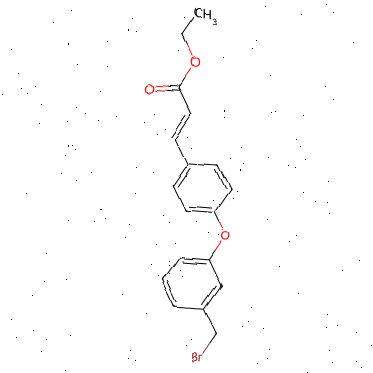 CCOC(=O)C=Cc1ccc(Oc2cccc(CBr)c2)cc1